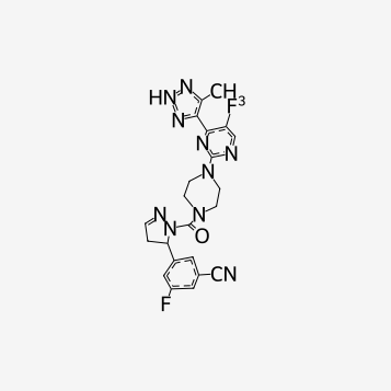 Cc1n[nH]nc1-c1nc(N2CCN(C(=O)N3N=CCC3c3cc(F)cc(C#N)c3)CC2)ncc1F